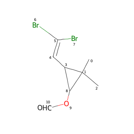 CC1(C)C(C=C(Br)Br)C1OC=O